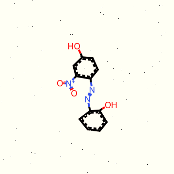 O=[N+]([O-])c1cc(O)ccc1/N=N/c1ccccc1O